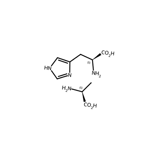 C[C@H](N)C(=O)O.N[C@@H](Cc1c[nH]cn1)C(=O)O